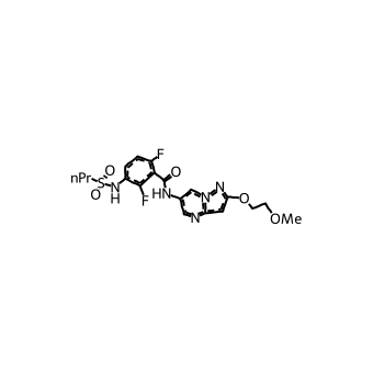 CCCS(=O)(=O)Nc1ccc(F)c(C(=O)Nc2cnc3cc(OCCOC)nn3c2)c1F